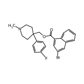 CN1CCC(COC(=O)c2cc(Br)cc3ccccc23)(c2ccc(F)cc2)CC1